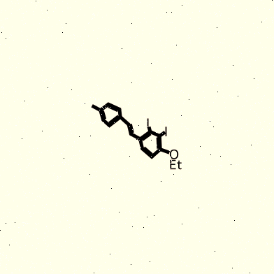 CCOc1ccc(C=Cc2ccc(C)cc2)c(I)c1I